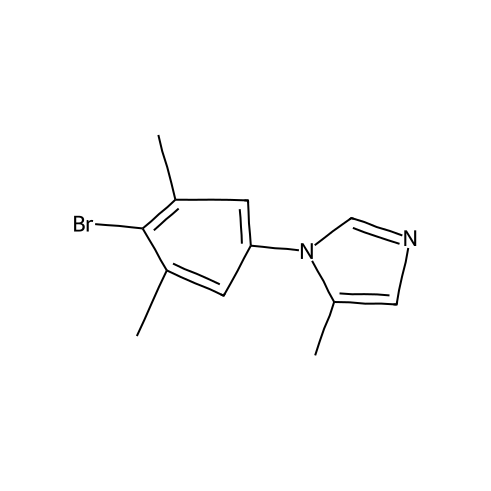 Cc1cc(-n2cncc2C)cc(C)c1Br